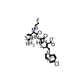 Nc1nc(/C(=N/OCCF)C(=O)N[C@@H]2C(=O)N3C(C(=O)[O-])=C(Cn4cc[n+]5cc(Cl)ccc45)CS[C@@H]23)cs1